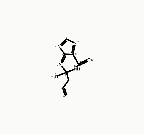 C=CCC1(N)N=C2N=CN=C2C(=O)N1